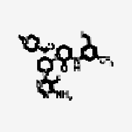 CN1CCN(C(=O)[C@H]2CCN(c3ncnc(N)c3F)C[C@@H]2N2CCC[C@H](Nc3cc(CI)cc(C(F)(F)F)c3)C2=O)CC1